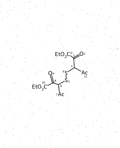 CCOC(=O)C(=O)C(SSC(C(C)=O)C(=O)C(=O)OCC)C(C)=O